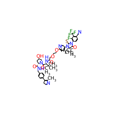 CC1=C(c2ccc(CNC(=O)[C@@H]3C[C@@H](O)CN3C(=O)[C@@H](NC(=O)COCCOc3cc(C)c(N4C(=S)N(c5ccc(C#N)c(C(F)(F)F)c5F)C(=O)C4(C)C)cn3)C(C)(C)C)cc2)CC=N1